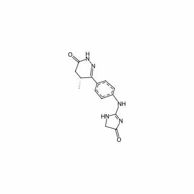 C[C@@H]1CC(=O)NN=C1c1ccc(NC2=NC(=O)CN2)cc1